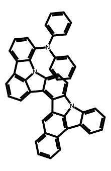 c1ccc(N(c2ccccc2)c2cccc3c4cccc5c6c7c8cc9ccccc9c9c%10ccccc%10n(c7ccc6n(c23)c45)c89)cc1